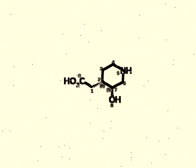 O=C(O)C[C@@H]1CCNC[C@H]1O